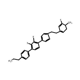 CCCc1ccc(-c2ccc(-c3ccc(CCC4=CCC(C)C(F)=C4)cc3)c(F)c2F)cc1